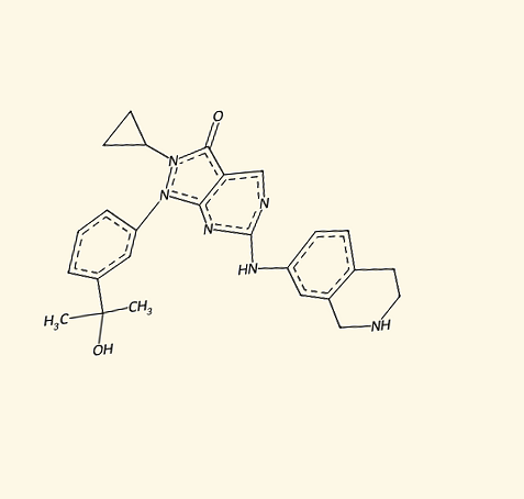 CC(C)(O)c1cccc(-n2c3nc(Nc4ccc5c(c4)CNCC5)ncc3c(=O)n2C2CC2)c1